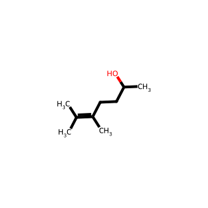 CC(C)=C(C)CCC(C)O